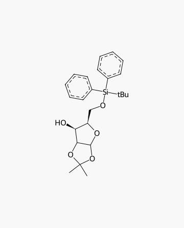 CC1(C)OC2O[C@H](CO[Si](c3ccccc3)(c3ccccc3)C(C)(C)C)[C@H](O)C2O1